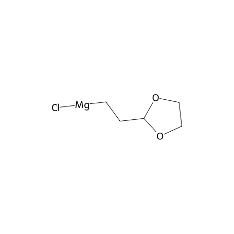 [Cl][Mg][CH2]CC1OCCO1